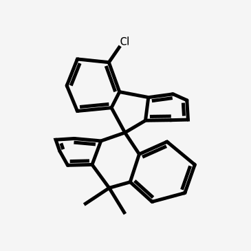 CC1(C)c2ccccc2C2(c3ccccc3-c3c(Cl)cccc32)c2ccccc21